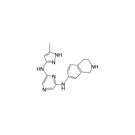 Cc1cc(Nc2cncc(Nc3ccc4c(c3)CNCC4)n2)n[nH]1